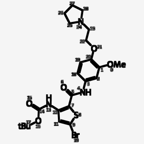 COc1cc(NC(=O)c2sc(Br)cc2NC(=O)OC(C)(C)C)ccc1OCCN1CCCC1